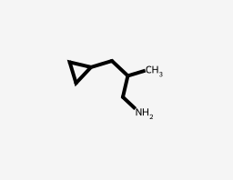 CC(CN)CC1CC1